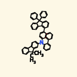 CC1(C)c2ccccc2-c2ccc(N(c3ccc(-c4cccc5c4-c4ccccc4C5(c4ccccc4)c4ccccc4)cc3)c3ccccc3-c3ccccc3)cc21